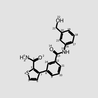 NC(=O)c1sccc1-c1cccc(C(=O)Nc2cccc(CO)c2)c1